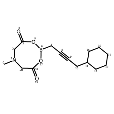 CN1CC(=O)OB(CC#CCC2CCCCC2)OC(=O)C1